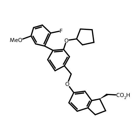 COc1ccc(F)c(-c2ccc(COc3ccc4c(c3)[C@@H](CC(=O)O)CC4)cc2OC2CCCC2)c1